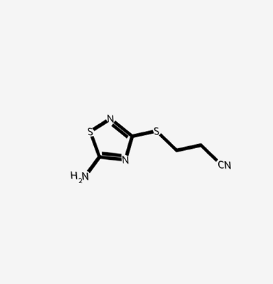 N#CCCSc1nsc(N)n1